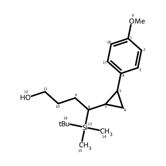 COc1ccc(C2CC2C(CCCO)[Si](C)(C)C(C)(C)C)cc1